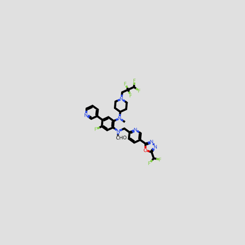 CN(c1cc(-c2cccnc2)c(F)cc1N(C=O)Cc1ccc(-c2nnc(C(F)F)o2)cn1)C1CCN(CC(F)(F)C(F)F)CC1